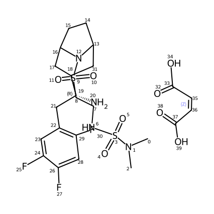 CN(C)S(=O)(=O)NCCS(=O)(=O)N1C2CCC1CC([C@H](N)Cc1cc(F)c(F)cc1F)C2.O=C(O)/C=C\C(=O)O